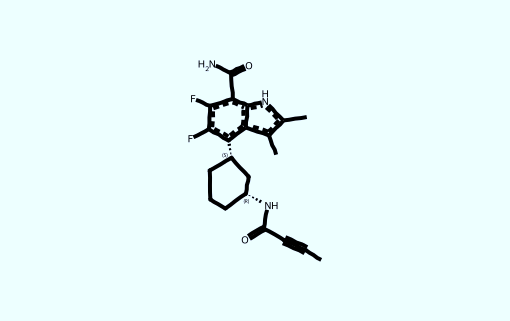 CC#CC(=O)N[C@@H]1CCC[C@H](c2c(F)c(F)c(C(N)=O)c3[nH]c(C)c(C)c23)C1